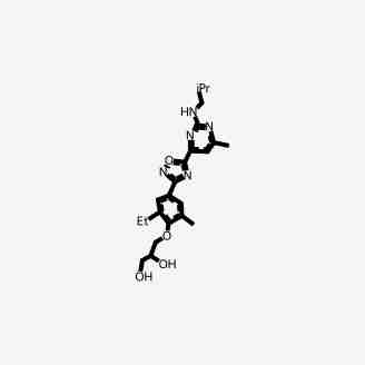 CCc1cc(-c2noc(-c3cc(C)nc(NCC(C)C)n3)n2)cc(C)c1OCC(O)CO